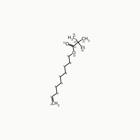 C=CCCCCCCCCOC(=O)C(C)(C)CC